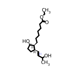 CCOC(=O)CCCCCC[C@@H]1[C@@H](O)CC[C@@H]1/C=C/C(C)O